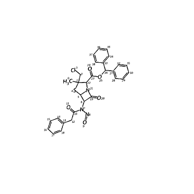 CC1(CCl)SC2C(N(N=O)C(=O)Cc3ccccc3)C(=O)N2C1C(=O)OC(c1ccccc1)c1ccccc1